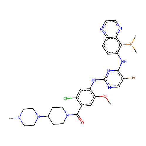 COc1cc(C(=O)N2CCC(N3CCN(C)CC3)CC2)c(Cl)cc1Nc1ncc(Br)c(Nc2ccc3nccnc3c2P(C)C)n1